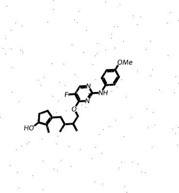 COc1ccc(Nc2ncc(F)c(OCC(C)C(C)CC3=C(C)C(O)CC3)n2)cc1